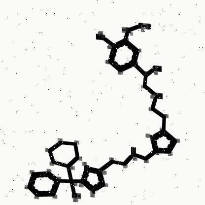 O=CNc1cc(C(O)CNCCc2ccc(CNCCc3cnc(C(O)(c4ccccc4)C4CCCCC4)o3)s2)ccc1O